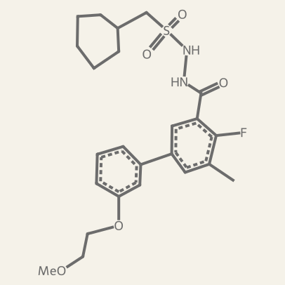 COCCOc1cccc(-c2cc(C)c(F)c(C(=O)NNS(=O)(=O)CC3CCCCC3)c2)c1